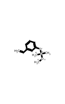 C=Cc1cccc(O[Si](C)(C)OC)c1